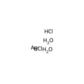 Cl.Cl.O.O.[Ag]